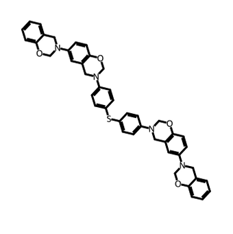 c1ccc2c(c1)CN(c1ccc3c(c1)CN(c1ccc(Sc4ccc(N5COc6ccc(N7COc8ccccc8C7)cc6C5)cc4)cc1)CO3)CO2